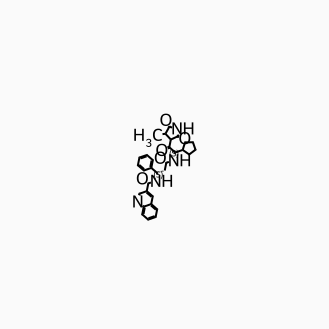 CC1C(=O)NC(=O)C1C(=O)[C@@H](NC(=O)C[C@H](NC(=O)c1cnc2ccccc2c1)c1ccccc1)C1CCCC1